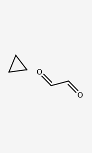 C1CC1.O=CC=O